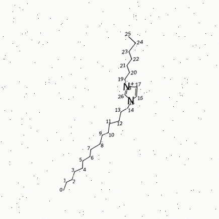 CCCCCCCCCCCCCCCn1cc[n+](CCCCCCC)c1